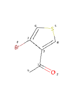 CC(=O)c1cscc1Br